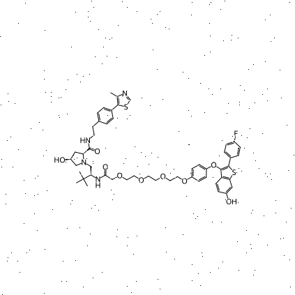 Cc1ncsc1-c1ccc(CCNC(=O)[C@@H]2C[C@H](O)CN2C[C@@H](NC(=O)COCCOCCOCCOc2ccc(Oc3c(-c4ccc(F)cc4)sc4cc(O)ccc34)cc2)C(C)(C)C)cc1